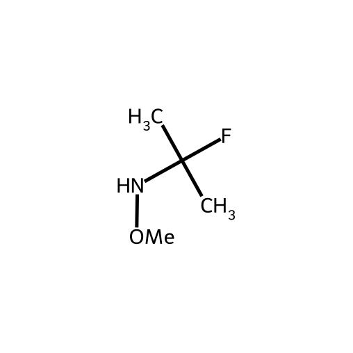 CONC(C)(C)F